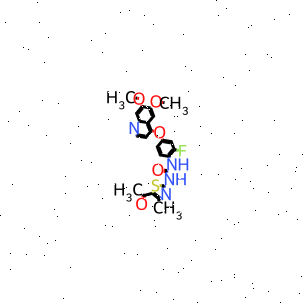 COc1cc2nccc(Oc3ccc(NC(=O)Nc4nc(C)c(C(C)=O)s4)c(F)c3)c2cc1OC